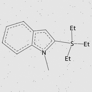 CCS(CC)(CC)c1cc2ccccc2n1C